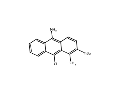 CCCCc1ccc2c(N)c3ccccc3c(Cl)c2c1C